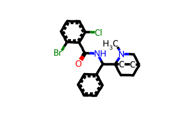 CN1CC2CCC1(C(NC(=O)c1c(Cl)cccc1Br)c1ccccc1)CC2